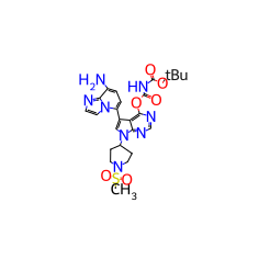 CC(C)(C)OC(=O)NC(=O)Oc1ncnc2c1c(-c1ccc(N)c3nccn13)cn2C1CCN(S(C)(=O)=O)CC1